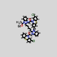 CCOC(C)n1c(/C=C/C=C/C=C2\N(CC)c3ccccc3N2CC(=O)N2c3ccccc3Sc3ccc(Cl)cc32)[n+](CC(=O)N2c3ccccc3Sc3ccc(Cl)cc32)c2ccccc21